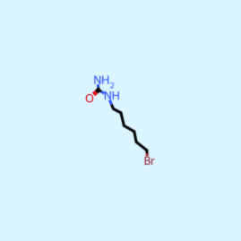 NC(=O)NCCCCCCBr